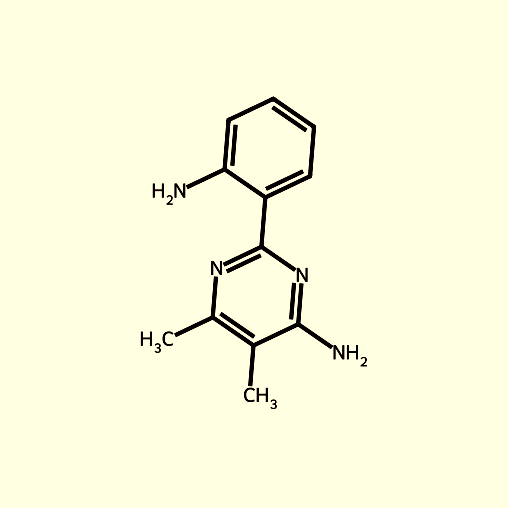 Cc1nc(-c2ccccc2N)nc(N)c1C